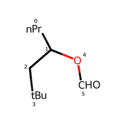 CCCC(CC(C)(C)C)OC=O